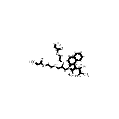 C=CC(=O)OCCOCC(Cn1c(C)c(/C(CCC)=C(/C)C(C)C)c2c3ccccc3ccc21)OCCOC(=O)C=C